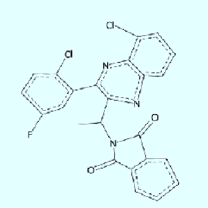 CC(c1nc2cccc(Cl)c2nc1-c1cc(F)ccc1Cl)N1C(=O)c2ccccc2C1=O